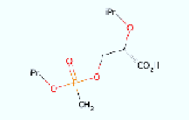 CC(C)O[C@@H](COP(C)(=O)OC(C)C)C(=O)O